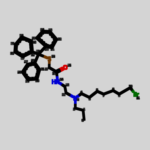 CCCN(CCCCCCCBr)CCNC(=O)CSC(c1ccccc1)(c1ccccc1)c1ccccc1